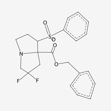 O=C(OCc1ccccc1)C12CC(F)(F)CN1CCC2S(=O)(=O)c1ccccc1